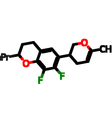 CCCC1CCc2cc(C3CC=C(C)OC3)c(F)c(F)c2O1